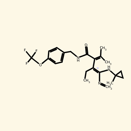 C=N/C(NC1(C)CC1)=C(\CC)C(C(=O)NCc1ccc(OC(F)(F)F)cc1)=C(C)C